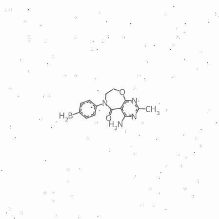 Bc1ccc(N2CCOc3nc(C)nc(N)c3C2=O)cc1